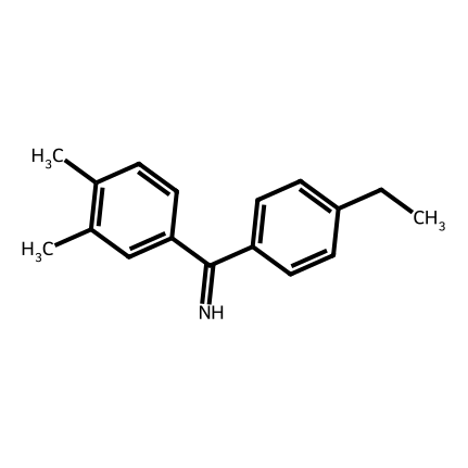 CCc1ccc(C(=N)c2ccc(C)c(C)c2)cc1